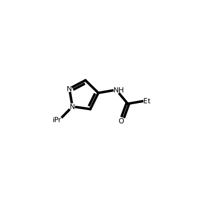 CCC(=O)Nc1cnn(C(C)C)c1